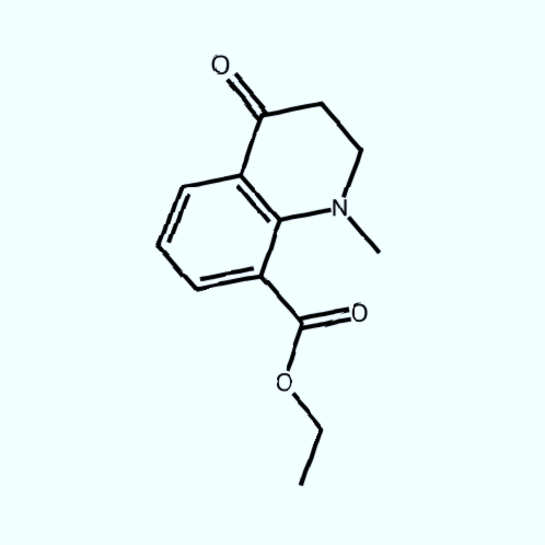 CCOC(=O)c1cccc2c1N(C)CCC2=O